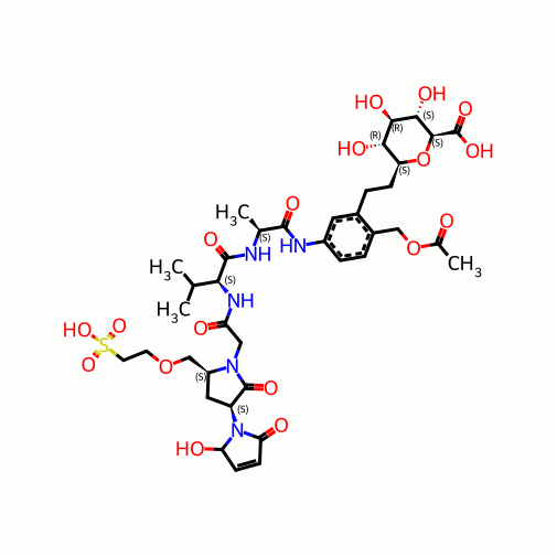 CC(=O)OCc1ccc(NC(=O)[C@H](C)NC(=O)[C@@H](NC(=O)CN2C(=O)[C@@H](N3C(=O)C=CC3O)C[C@H]2COCCS(=O)(=O)O)C(C)C)cc1CC[C@@H]1O[C@H](C(=O)O)[C@@H](O)[C@H](O)[C@H]1O